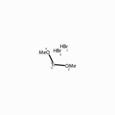 Br.Br.C[O][Ti][O]C